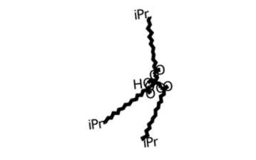 CC(C)CCCCCCCCCCCCCCC(=O)OCC(CO)(COC(=O)CCCCCCCCCCCCCCC(C)C)COC(=O)CCCCCCCCCCCCCCC(C)C